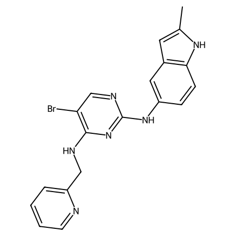 Cc1cc2cc(Nc3ncc(Br)c(NCc4ccccn4)n3)ccc2[nH]1